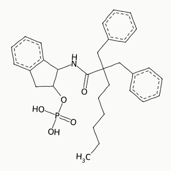 CCCCCCC(Cc1ccccc1)(Cc1ccccc1)C(=O)NC1c2ccccc2CC1OP(=O)(O)O